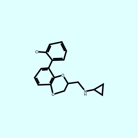 Clc1ccccc1-c1cccc2c1OC(CNC1CC1)CO2